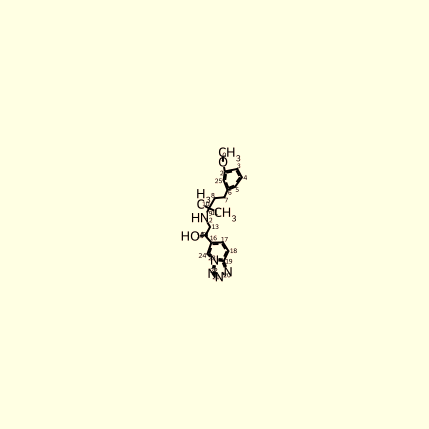 COc1cccc(CCC(C)(C)NC[C@H](O)c2ccc3nnnn3c2)c1